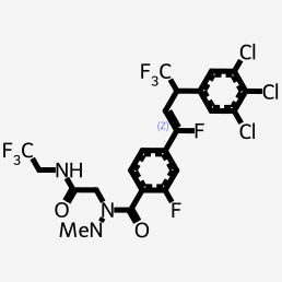 CNN(CC(=O)NCC(F)(F)F)C(=O)c1ccc(/C(F)=C/C(c2cc(Cl)c(Cl)c(Cl)c2)C(F)(F)F)cc1F